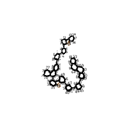 c1cc(-c2cccc(-c3cccc4c3sc3ccccc34)c2)cc(-c2ccc3cc(-c4cccc5sc6c(-c7cccc(-c8cccc(-c9ccc%10ccc%11c%12ccccc%12ccc%11c%10c9)c8)c7)cccc6c45)c4ccccc4c3c2)c1